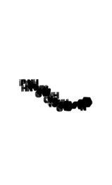 CC(C)NC(=N)CCNC(=O)c1cc(NC(=O)c2cc(NC(=O)c3ccc(/C=C/c4cnc5ccccc5c4)cc3)cn2C)cn1C